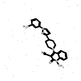 Cc1cccc(-n2ccc(C3CCN(c4c(C#N)c(=O)n(C)c5ccccc45)CC3)n2)c1